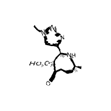 C[C@H]1CC(=O)[C@H](C(=O)O)[C@@H](c2cn(C)nn2)N1